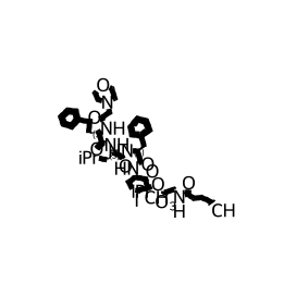 C#CCCC(=O)NCC(=O)OC(C)(CI)C(=O)C(CC(C)C)NC(=O)[C@H](Cc1ccccc1)NC(=O)[C@H](CC(C)C)NC(=O)[C@H](CCc1ccccc1)NC(=O)CN1CCOCC1